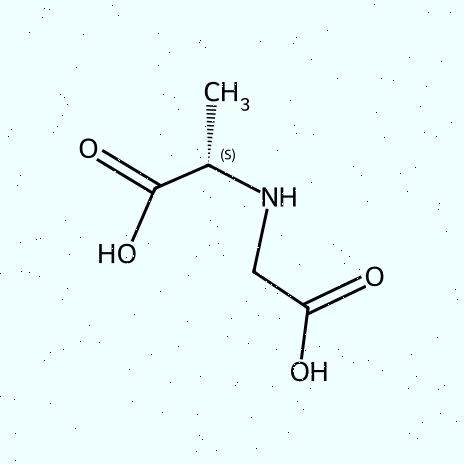 C[C@H](NCC(=O)O)C(=O)O